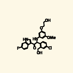 COc1cc(NC(C(=O)c2c[nH]c3cc(F)ccc23)c2ccc(Cl)cc2CO)cc(OCCO)c1